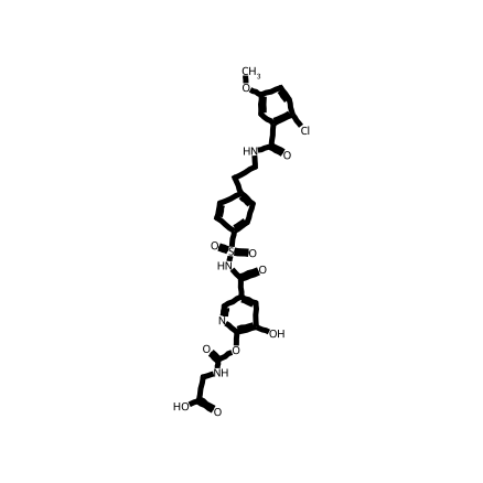 COc1ccc(Cl)c(C(=O)NCCc2ccc(S(=O)(=O)NC(=O)c3cnc(OC(=O)NCC(=O)O)c(O)c3)cc2)c1